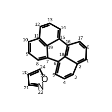 c1cc2cccc3c4cccc5cccc(c(c1)c23)c54.c1cnoc1